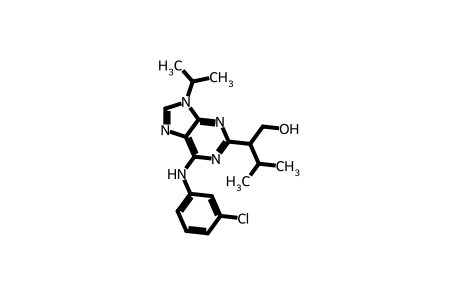 CC(C)C(CO)c1nc(Nc2cccc(Cl)c2)c2ncn(C(C)C)c2n1